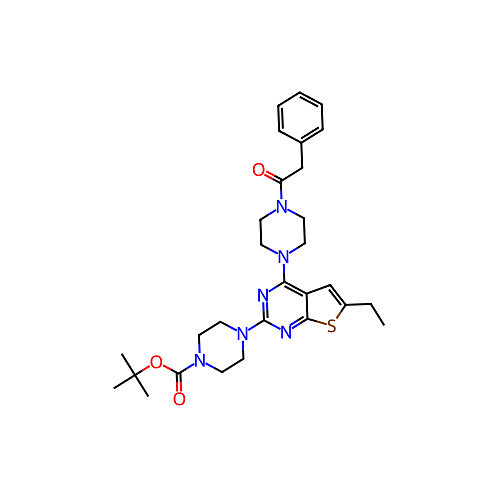 CCc1cc2c(N3CCN(C(=O)Cc4ccccc4)CC3)nc(N3CCN(C(=O)OC(C)(C)C)CC3)nc2s1